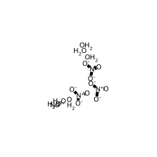 O.O.O.O.O.O.O=[N+]([O-])[O-].O=[N+]([O-])[O-].O=[N+]([O-])[O-].[Nd+3]